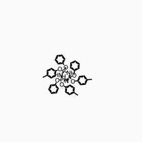 Cc1ccc(OP2(Oc3ccccc3)=N[PH](Oc3ccccc3)(Oc3ccc(C)cc3)N[PH](Oc3ccccc3)(Oc3ccc(C)cc3)N2)cc1